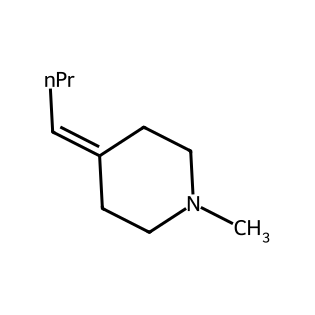 CCCC=C1CCN(C)CC1